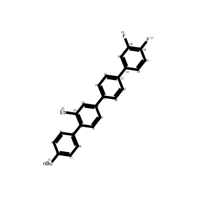 CCCCc1ccc(-c2ccc(-c3ccc(-c4ccc(F)c(F)c4)cc3)cc2CC)cc1